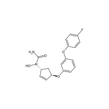 NC(=O)N(O)[C@H]1C=C[C@H](Oc2cccc(Oc3ccc(F)cc3)c2)C1